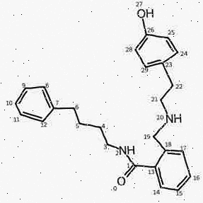 O=C(NCCCCc1ccccc1)c1ccccc1CNCCc1ccc(O)cc1